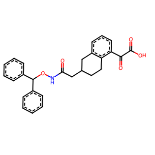 O=C(CC1CCc2c(cccc2C(=O)C(=O)O)C1)NOC(c1ccccc1)c1ccccc1